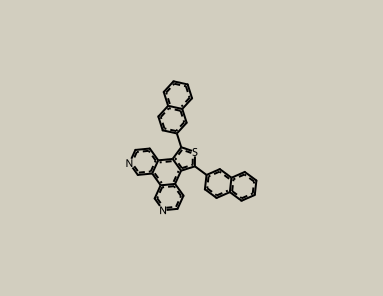 c1ccc2cc(-c3sc(-c4ccc5ccccc5c4)c4c5ccncc5c5cnccc5c34)ccc2c1